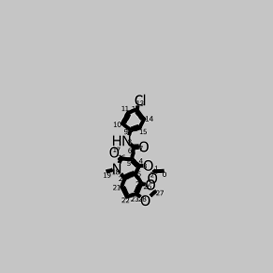 CC(=O)Oc1c(C(=O)Nc2ccc(Cl)cc2)c(=O)n(C)c2ccc3c(c12)OCO3